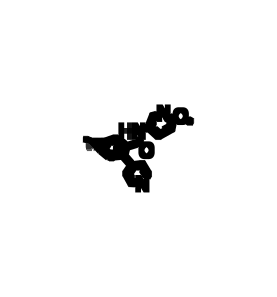 COc1ccc(NC(=O)c2c(-c3ccncc3)c3oc2c2c3[C@H]2C)cn1